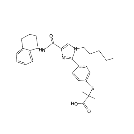 CCCCCn1cc(C(=O)NC2CCCc3ccccc32)nc1-c1ccc(SC(C)(C)C(=O)O)cc1